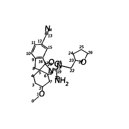 COC1CCC2(CC1)Cc1ccc(C#N)cc1C21N=C(N)N(CC2CCCO2)CO1